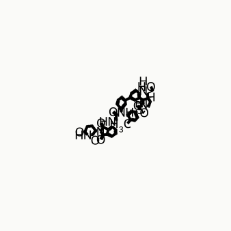 Cc1ccc(S(=O)(=O)N2CC[C@@H]3[C@H](CO)Nc4ccc(-c5cccc(NC(=O)CNc6cccc7c6C(=O)N(C6CCC(=O)NC6=O)C7=O)c5)cc4[C@@H]32)cc1